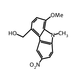 COc1ccc(CO)c2c3cc([N+](=O)[O-])ccc3n(C)c12